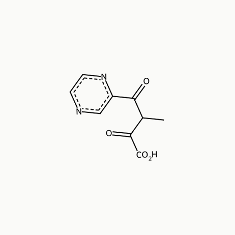 CC(C(=O)C(=O)O)C(=O)c1cnccn1